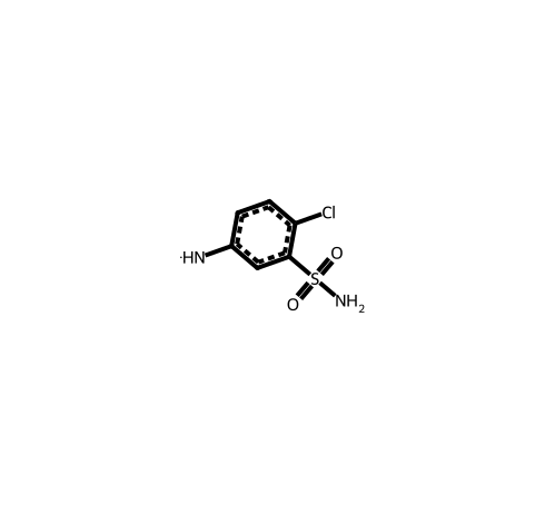 [NH]c1ccc(Cl)c(S(N)(=O)=O)c1